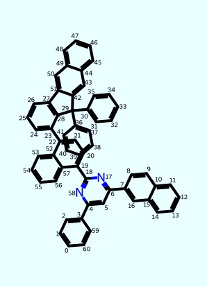 c1ccc(-c2cc(-c3ccc4ccccc4c3)nc(-c3ccc(-c4cccc5c4C(c4ccccc4)(c4ccccc4)c4cc6ccccc6cc4-5)c4ccccc34)n2)cc1